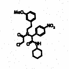 COc1cccc(CCN(C(=O)CCl)C(C(=O)NC2CCCCC2)c2ccc([N+](=O)[O-])cc2)c1